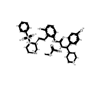 COC(=O)N[C@H](C(=O)Nc1cccc(F)c1CC[C@H]1CNCCN1S(=O)(=O)c1ccccc1)C(c1ccc(Cl)cc1)C1CCOCC1